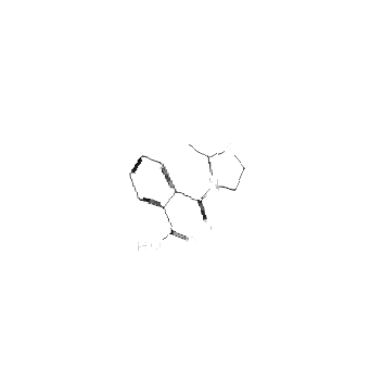 CC1SCCN1C(=O)c1ccccc1C(=O)O